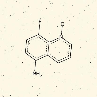 Nc1ccc(F)c2c1ccc[n+]2[O-]